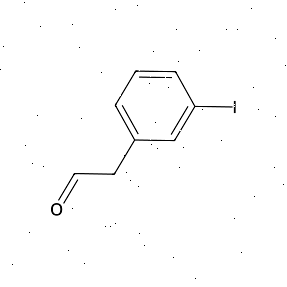 O=CCc1cccc(I)c1